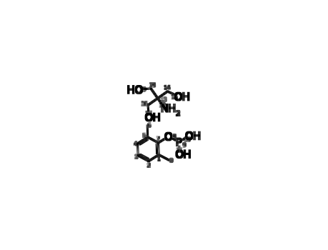 Cc1cccc(C)c1OP(O)O.NC(CO)(CO)CO